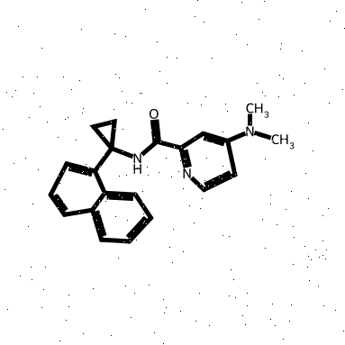 CN(C)c1ccnc(C(=O)NC2(c3cccc4ccccc34)CC2)c1